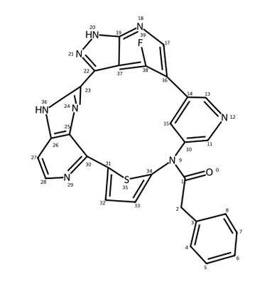 O=C(Cc1ccccc1)n1c2cncc(c2)c2cnc3[nH]nc(c4nc5c(ccnc5c5ccc1s5)[nH]4)c3c2F